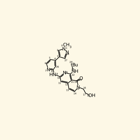 Cn1cc(-c2ccnc(Nc3cc4ccn(CCO)c(=O)c4c(NC(C)(C)C)n3)c2)cn1